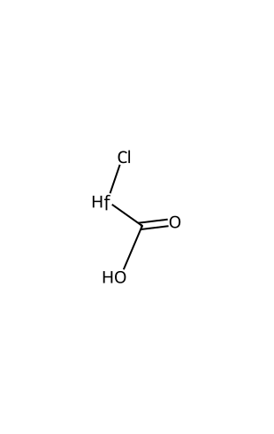 O=[C](O)[Hf][Cl]